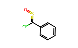 O=S=C(Cl)c1ccccc1